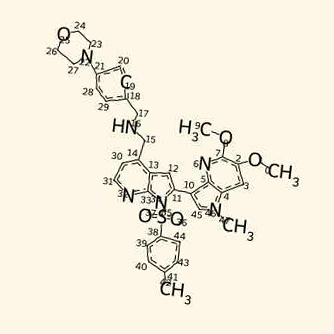 COc1cc2c(nc1OC)c(-c1cc3c(CNCc4ccc(N5CCOCC5)cc4)ccnc3n1S(=O)(=O)c1ccc(C)cc1)cn2C